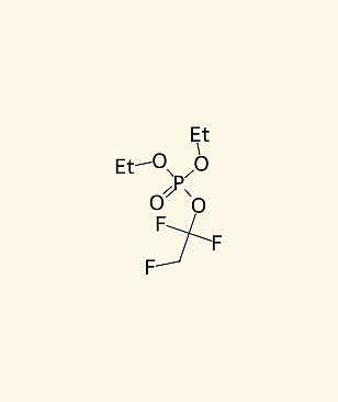 CCOP(=O)(OCC)OC(F)(F)CF